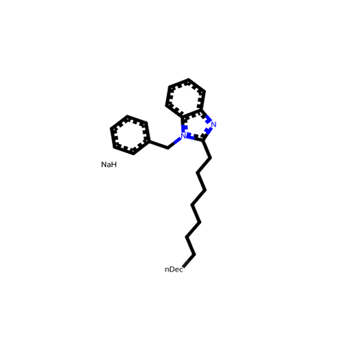 CCCCCCCCCCCCCCCCCc1nc2ccccc2n1Cc1ccccc1.[NaH]